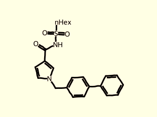 CCCCCCS(=O)(=O)NC(=O)c1ccn(Cc2ccc(-c3ccccc3)cc2)c1